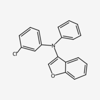 Clc1cccc(N(c2ccccc2)c2coc3ccccc23)c1